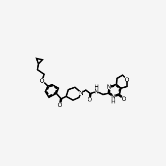 O=C(CN1CCC(C(=O)c2ccc(OCCC3CC3)cc2)CC1)NCc1nc2c(c(=O)[nH]1)COCC2